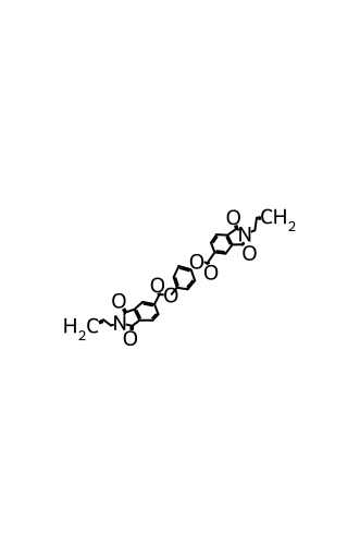 C=CCN1C(=O)c2ccc(C(=O)Oc3ccc(OC(=O)c4ccc5c(c4)C(=O)N(CC=C)C5=O)cc3)cc2C1=O